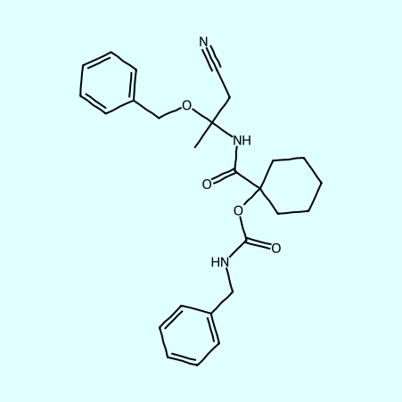 CC(CC#N)(NC(=O)C1(OC(=O)NCc2ccccc2)CCCCC1)OCc1ccccc1